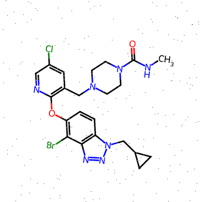 CNC(=O)N1CCN(Cc2cc(Cl)cnc2Oc2ccc3c(nnn3CC3CC3)c2Br)CC1